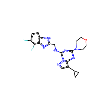 Fc1ccc2[nH]c(CNc3nc(N4CCOCC4)nc4c(C5CC5)cnn34)nc2c1F